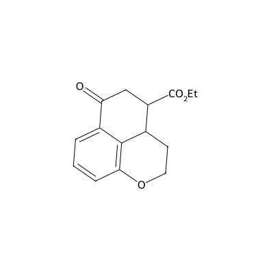 CCOC(=O)C1CC(=O)c2cccc3c2C1CCO3